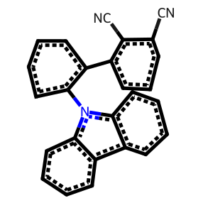 N#Cc1cccc(-c2ccccc2-n2c3ccccc3c3ccccc32)c1C#N